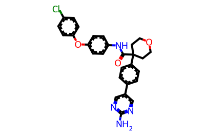 Nc1ncc(-c2ccc(C3(C(=O)Nc4ccc(Oc5ccc(Cl)cc5)cc4)CCOCC3)cc2)cn1